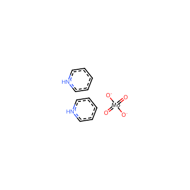 [O]=[Mo](=[O])([O-])[O-].c1cc[nH+]cc1.c1cc[nH+]cc1